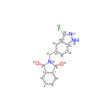 O=C1c2ccccc2C(=O)N1Cc1ccc2[nH]nc(F)c2c1